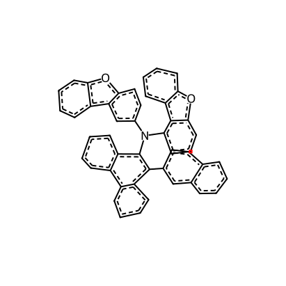 c1ccc2cc(-c3c(N(c4ccc5oc6ccccc6c5c4)c4cccc5oc6ccccc6c45)c4ccccc4c4ccccc34)ccc2c1